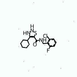 O=C(NCc1c(F)cccc1Cl)C1=C(C2CCCCC2)NNS1